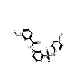 COc1cccc(C(=O)Nc2cccc(S(=O)(=O)Nc3ccc(Cl)cc3)c2)c1